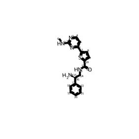 CNc1nccc(-c2ccc(C(=O)NC[C@H](N)c3ccccc3)s2)n1